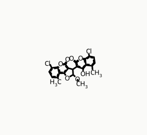 COC1Oc2c(c(=O)oc3c(Cl)ccc(C)c23)C1c1c(O)c2c(C)ccc(Cl)c2oc1=O